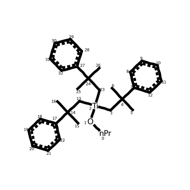 CCC[O][Ti]([CH2]C(C)(C)c1ccccc1)([CH2]C(C)(C)c1ccccc1)[CH2]C(C)(C)c1ccccc1